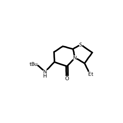 CCC1CSC2CCC(NC(C)(C)C)C(=O)N12